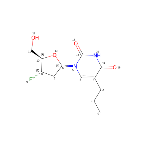 CCCc1cn([C@H]2C[C@H](F)[C@@H](CO)O2)c(=O)[nH]c1=O